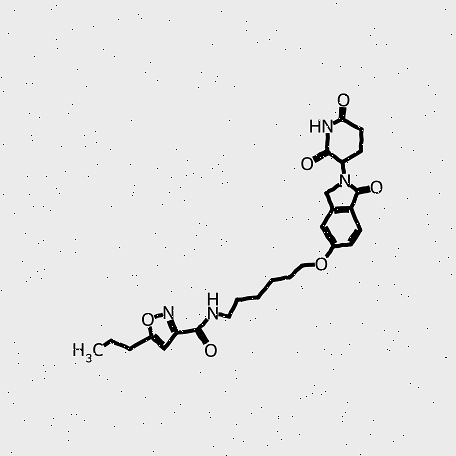 CCCc1cc(C(=O)NCCCCCCOc2ccc3c(c2)CN(C2CCC(=O)NC2=O)C3=O)no1